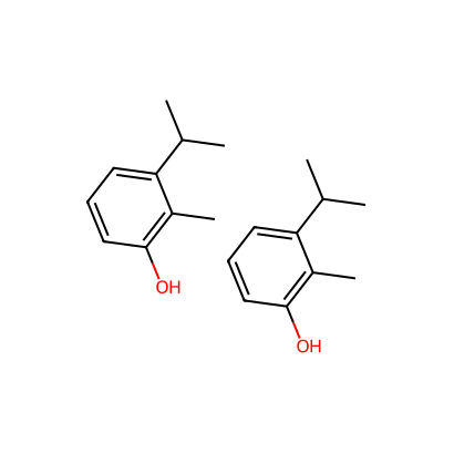 Cc1c(O)cccc1C(C)C.Cc1c(O)cccc1C(C)C